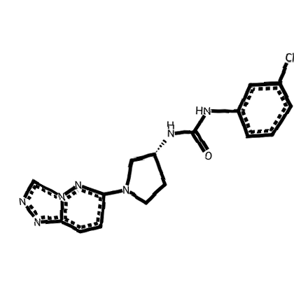 O=C(Nc1cccc(Cl)c1)N[C@@H]1CCN(c2ccc3nncn3n2)C1